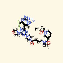 C=CC(=O)N1CCC[C@@H](C(=O)N(C)CC=CC(=O)N2CCN(c3nc(-c4cnc(N)nc4C(F)F)nc(N4CCOCC4)n3)CC2)C1